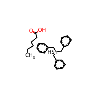 CCCCCC(=O)O.c1ccc([CH2][SnH]([CH2]c2ccccc2)[CH2]c2ccccc2)cc1